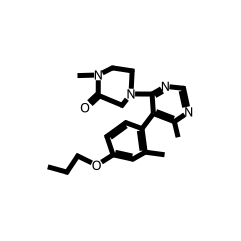 CCCOc1ccc(-c2c(C)ncnc2N2CCN(C)C(=O)C2)c(C)c1